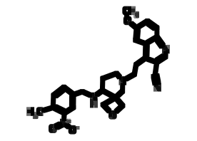 COc1ccc2ncc(C#N)c(CCN3CCC(NCc4ccc(C)c([N+](=O)[O-])c4)C4(COC4)C3)c2c1